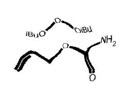 C=CCOC(N)=O.CC(C)COOOCC(C)C